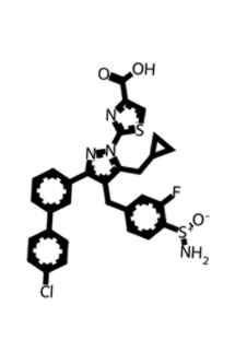 N[S+]([O-])c1ccc(Cc2c(-c3cccc(-c4ccc(Cl)cc4)c3)nn(-c3nc(C(=O)O)cs3)c2CC2CC2)cc1F